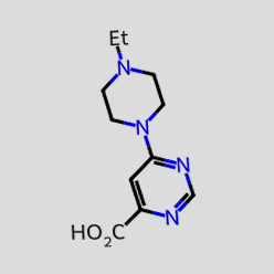 CCN1CCN(c2cc(C(=O)O)ncn2)CC1